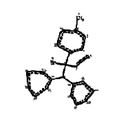 Cc1ccc(C(Br)(C=O)C(c2ccccc2)c2ccccc2)cc1